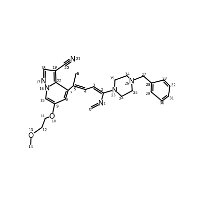 C=N/C(=C\C=C(/C)c1cc(OCCOC)cn2ncc(C#N)c12)N1CCN(Cc2ccccc2)CC1